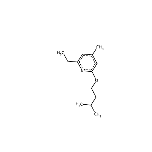 CCc1cc(C)cc(OCCC(C)C)n1